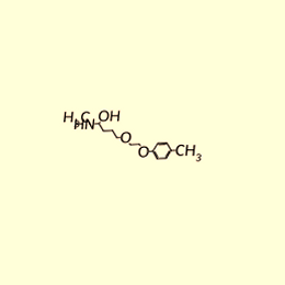 CNC(O)CCCOCCOc1ccc(C)cc1